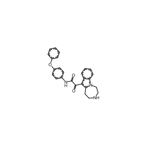 O=C(Nc1ccc(Oc2ccccc2)cc1)C(=O)c1c2n(c3ccccc13)CCNCC2